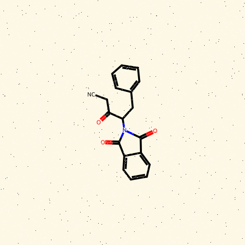 N#CCC(=O)C(Cc1ccccc1)N1C(=O)c2ccccc2C1=O